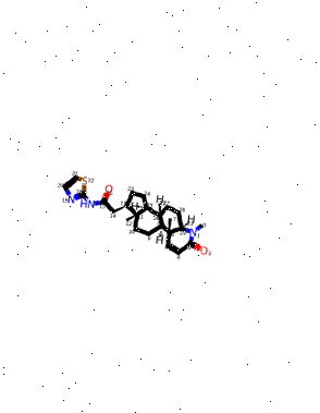 CN1C(=O)C=C[C@]2(C)[C@H]3CC[C@]4(C)[C@@H](CC(=O)Nc5nccs5)CC[C@H]4[C@@H]3CC[C@@H]12